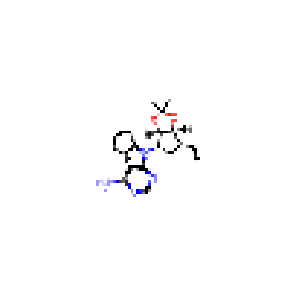 C=CC1C[C@@H](n2c3c(c4c(N)ncnc42)CCC3)[C@@H]2OC(C)(C)O[C@H]12